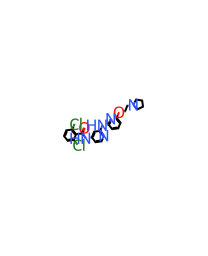 O=C(Nc1ccnc(Nc2cccc(OCCN3CCCC3)n2)c1)c1c(Cl)cccc1Cl